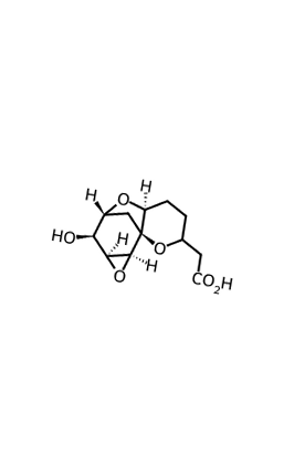 O=C(O)CC1CC[C@@H]2O[C@@H]3C[C@@]2(O1)[C@H]1O[C@H]1[C@H]3O